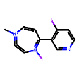 C[N+]1=C=C[N+](I)=C(c2cnccc2I)C=C1